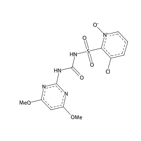 COc1cc(OC)nc(NC(=O)NS(=O)(=O)c2c(Cl)ccc[n+]2[O-])n1